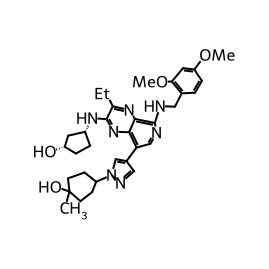 CCc1nc2c(NCc3ccc(OC)cc3OC)ncc(-c3cnn(C4CCC(C)(O)CC4)c3)c2nc1N[C@@H]1CC[C@H](O)C1